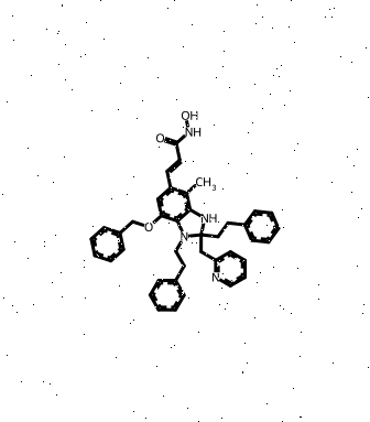 Cc1c(C=CC(=O)NO)cc(OCc2ccccc2)c2c1NC(CCc1ccccc1)(Cc1ccccn1)N2CCc1ccccc1